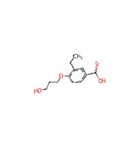 CCc1cc(C(=O)O)ccc1OCCCO